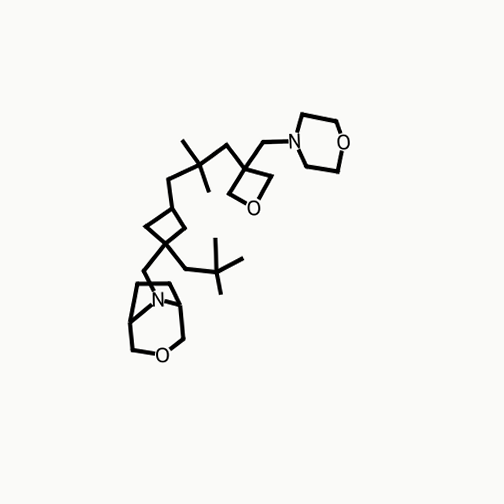 CC(C)(C)CC1(CN2C3CCC2COC3)CC(CC(C)(C)CC2(CN3CCOCC3)COC2)C1